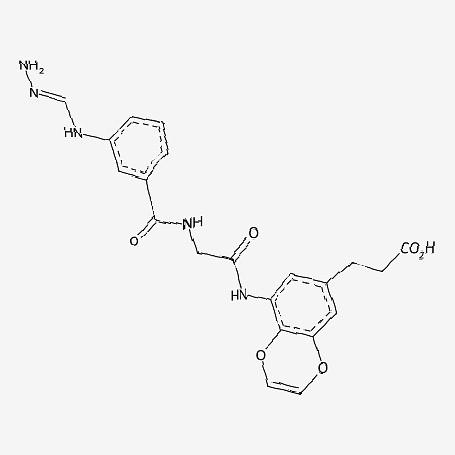 NN=CNc1cccc(C(=O)NCC(=O)Nc2cc(CCC(=O)O)cc3c2OC=CO3)c1